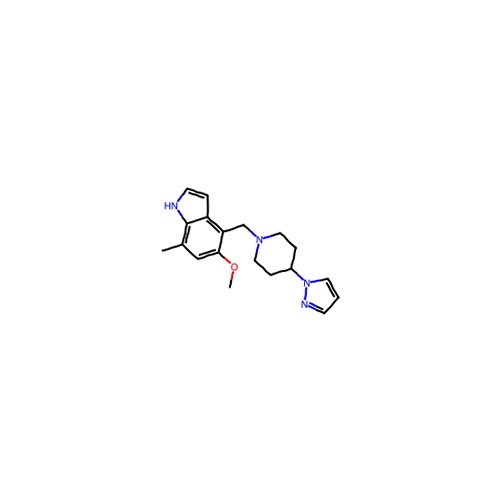 COc1cc(C)c2[nH]ccc2c1CN1CCC(n2cccn2)CC1